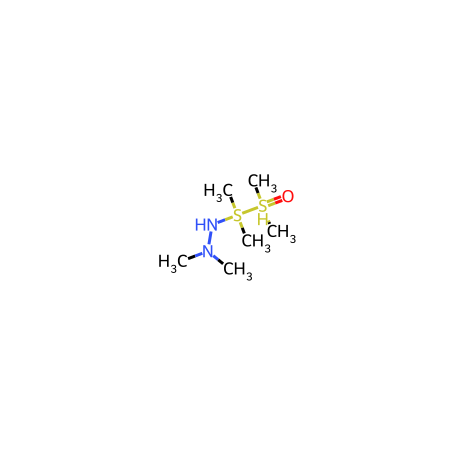 CN(C)NS(C)(C)[SH](C)(C)=O